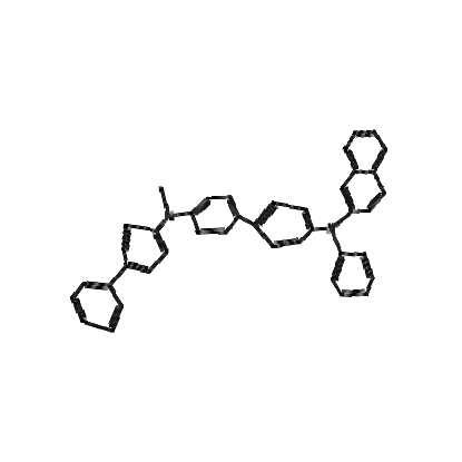 CN(c1ccc(-c2ccccc2)cc1)c1ccc(-c2ccc(N(c3ccccc3)c3ccc4ccccc4c3)cc2)cc1